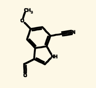 COc1cc(C#N)c2[nH]cc(C=O)c2c1